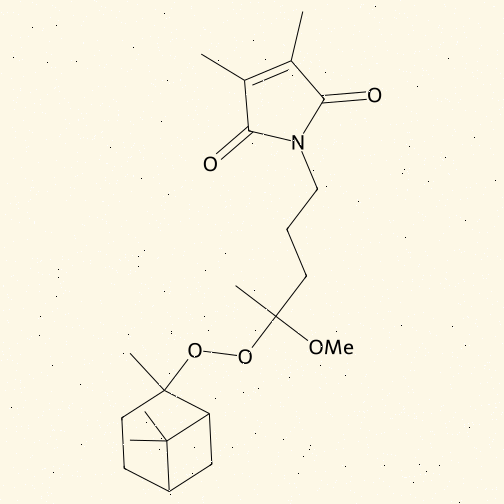 COC(C)(CCCN1C(=O)C(C)=C(C)C1=O)OOC1(C)CCC2CC1C2(C)C